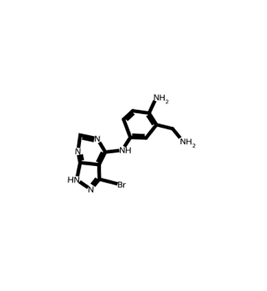 NCc1cc(Nc2ncnc3[nH]nc(Br)c23)ccc1N